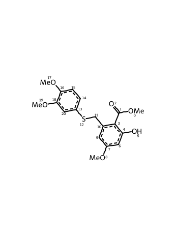 COC(=O)c1c(O)cc(OC)cc1CSc1ccc(OC)c(OC)c1